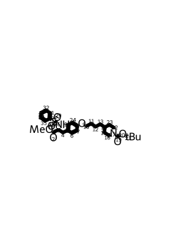 COC(=O)C(Cc1ccc(OCCCCC2CCN(C(=O)OC(C)(C)C)CC2)cc1)NS(=O)(=O)c1ccccc1